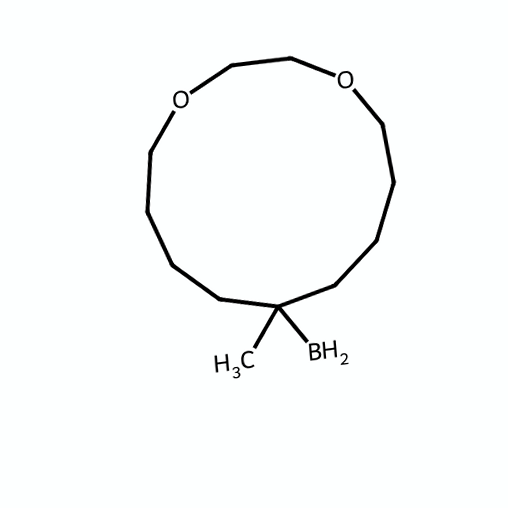 BC1(C)CCCCOCCOCCCC1